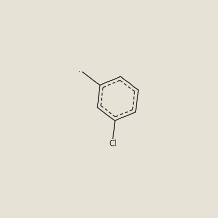 [CH2]c1cccc(Cl)c1